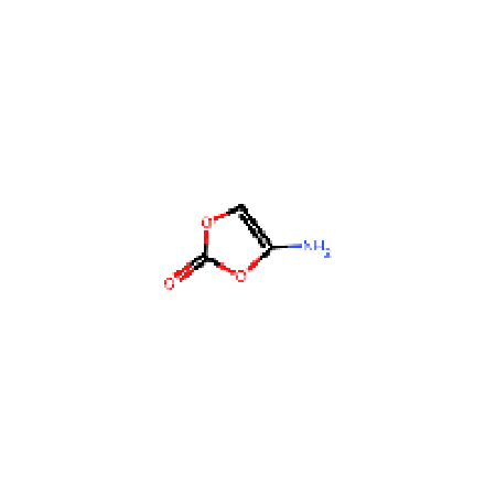 Nc1coc(=O)o1